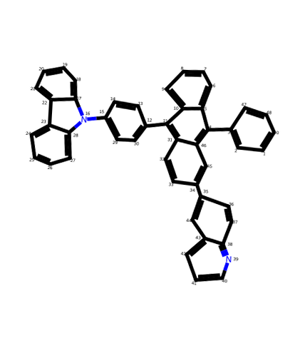 c1ccc(-c2c3ccccc3c(-c3ccc(-n4c5ccccc5c5ccccc54)cc3)c3ccc(-c4ccc5ncccc5c4)cc23)cc1